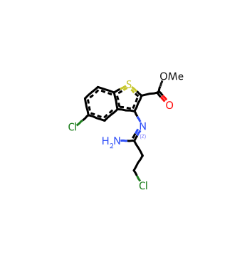 COC(=O)c1sc2ccc(Cl)cc2c1/N=C(\N)CCCl